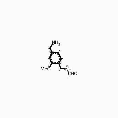 COc1cc(CN)ccc1CNC=O